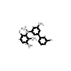 Cc1cc(-c2cccc(F)c2)cc(N(C)c2c(F)ccc(O)c2C)c1